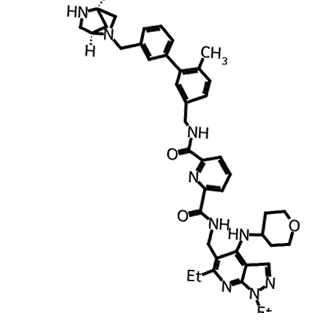 CCc1nc2c(cnn2CC)c(NC2CCOCC2)c1CNC(=O)c1cccc(C(=O)NCc2ccc(C)c(-c3cccc(CN4C[C@H]5C[C@@H]4CN5)c3)c2)n1